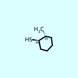 C[C@@H]1CCCC[C@H]1S